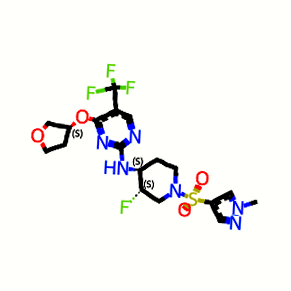 Cn1cc(S(=O)(=O)N2CC[C@H](Nc3ncc(C(F)(F)F)c(O[C@H]4CCOC4)n3)[C@@H](F)C2)cn1